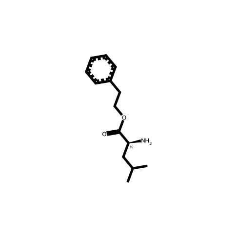 CC(C)C[C@H](N)C(=O)OCCc1ccccc1